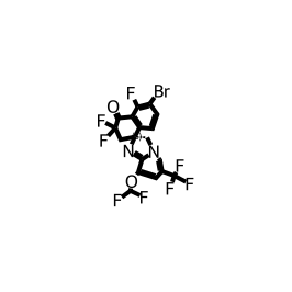 O=C1c2c(ccc(Br)c2F)[C@]2(CN3C=C(C(F)(F)F)C=C(OC(F)F)C3=N2)CC1(F)F